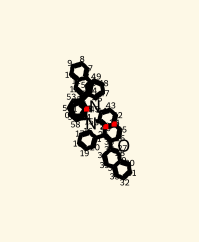 c1cc(-c2ccc3ccccc3c2)cc(N(c2ccccc2-c2cccc3oc4c5ccccc5ccc4c23)c2ccccc2-n2c3ccccc3c3ccccc32)c1